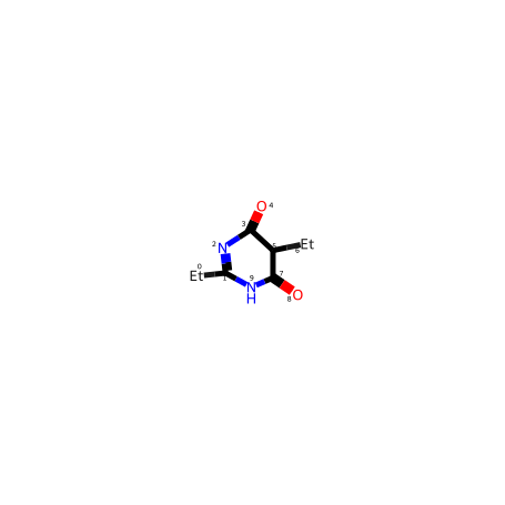 CCC1=NC(=O)C(CC)C(=O)N1